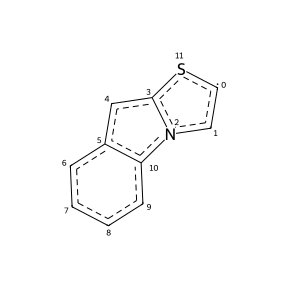 [c]1cn2c(cc3ccccc32)s1